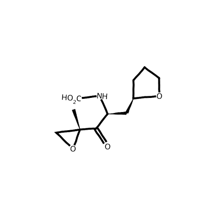 C[C@]1(C(=O)[C@H](C[C@H]2CCCO2)NC(=O)O)CO1